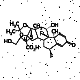 CC1(C)O[C@@H]2CC3C4C[C@H](F)C5=CC(=O)C=C[C@]5(C)[C@@]4(F)[C@@H](O)C[C@]3(C)[C@@]2(SC(CCO)C(=O)O)O1